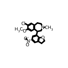 COc1cc2c(cc1Cl)CCN(C)CC2c1cc([N+](=O)[O-])cc2c1OCC2